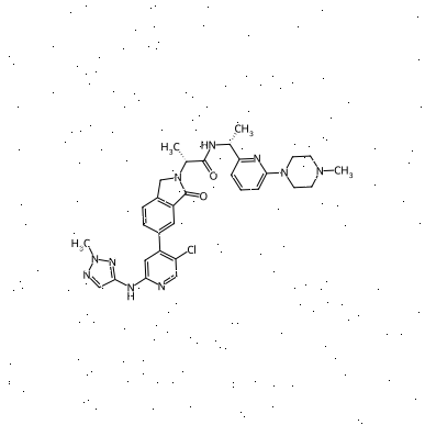 C[C@H](C(=O)N[C@H](C)c1cccc(N2CCN(C)CC2)n1)N1Cc2ccc(-c3cc(Nc4cnn(C)n4)ncc3Cl)cc2C1=O